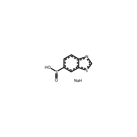 O=S(O)c1ccc2ncsc2c1.[NaH]